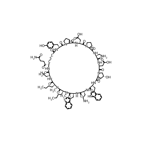 C=C1N[C@H](C(=O)CCC(N)=O)CSCC(=O)N[C@@H](Cc2ccc(O)cc2)C(=O)N2CCC[C@H]2C(=O)N[C@@H](CC(=O)O)C(=O)N2CCC[C@H]2C(=O)N[C@@H](CN)C(=O)NC(CC(=O)O)C(=O)N2C[C@H](O)C[C@H]2C(=O)N[C@@H](Cc2c[nH]c3ccccc23)C(=O)N[C@@H](CCN)C(=O)N[C@@H](Cc2csc3ccccc23)C(=O)N(C)[C@@H](CCCC)C(=O)N(C)[C@@H](CCCC)C(=O)N[C@H]1CN